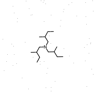 CCC(C)CN(CC(C)CC)CC(C)CC